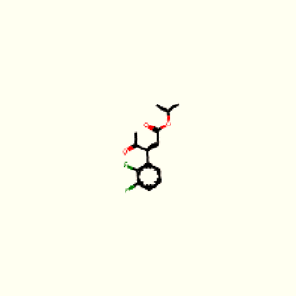 CC(=O)C(=CC(=O)OC(C)C)c1cccc(F)c1F